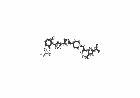 CS(=O)(=O)Oc1cccc(Cl)c1C1CC(c2csc(C3CCN(CC(=O)n4nc(C(F)F)cc4C(F)F)CC3)n2)=NO1